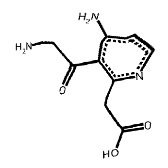 NCC(=O)c1c(N)ccnc1CC(=O)O